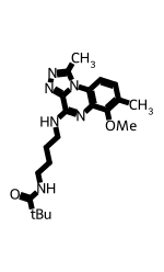 COc1c(C)ccc2c1nc(NCCCCNC(=O)C(C)(C)C)c1nnc(C)n12